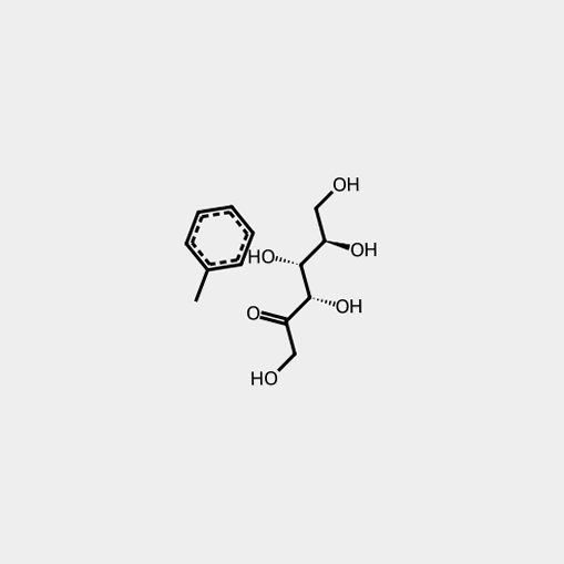 Cc1ccccc1.O=C(CO)[C@@H](O)[C@H](O)[C@H](O)CO